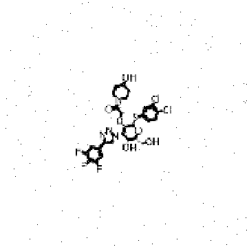 O=C(CO[C@@H]1[C@@H](n2cc(-c3cc(F)c(F)c(F)c3)nn2)[C@@H](O)[C@@H](CO)O[C@@H]1Sc1ccc(Cl)c(Cl)c1)N1CCC(O)CC1